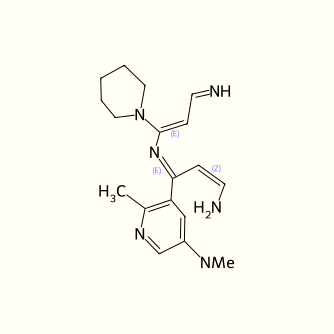 CNc1cnc(C)c(C(/C=C\N)=N/C(=C/C=N)N2CCCCC2)c1